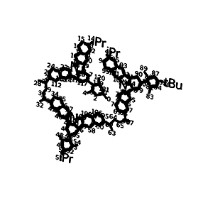 Cc1cc(C)c(-c2cc3c4cc5cc(C(C)C)ccc5cc4n4c5cc6ccc(C(C)CCC(C)c7ccc8cc9c(cc8c7)c7cc(-c8c(C)cc(C(C)C)cc8C)cc8c%10cc%11cc(C(C)CCC(C)c%12ccc%13cc%14c(cc%13c%12)c%12cc(-c%13c(C)cc(C(C)(C)C)cc%13C)cc%13c%15cc%16cc(C(C)C)ccc%16cc%15n%14c%13%12)ccc%11cc%10n9c78)cc6cc5c(c2)c34)c(C)c1